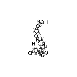 Cc1nc(Oc2ccc(OCC(=O)O)cc2)ccc1CN1CCC(N2C(=O)OC[C@H]2c2cccc(Cl)c2)CC1